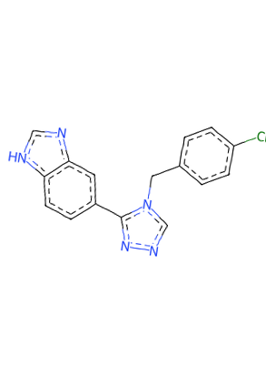 Clc1ccc(Cn2cnnc2-c2ccc3[nH]cnc3c2)cc1